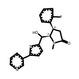 CN1C(=O)C[C@H](c2ccccc2F)[C@@H]1C(O)c1ccc(-c2cccnc2)s1